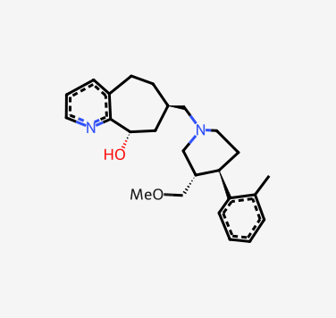 COC[C@@H]1CN(C[C@@H]2CCc3cccnc3[C@@H](O)C2)CC[C@H]1c1ccccc1C